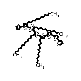 CCCCCCCCCCCCc1cc(-c2cccs2)sc1-c1nc(CCCCCCCCCCCC)c(-c2sc(-c3sc(-c4ccc(-c5ccc(-c6cccs6)s5)s4)cc3CCCCCCCCCCCC)nc2CCCCCCCCCCCC)s1